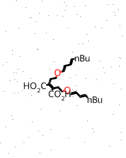 CCCCC=CC=COCC/C(C(=O)O)=C(\CCOC=CC=CCCCC)C(=O)O